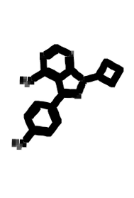 Nc1ccc(-c2nn(C3CCC3)c3ncnc(N)c23)cc1